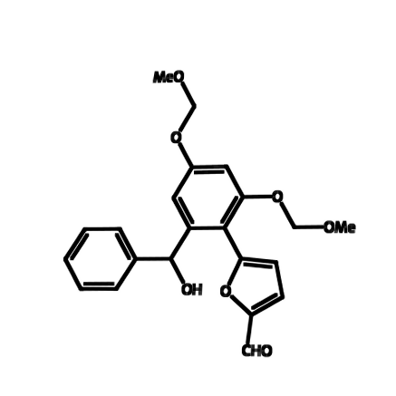 COCOc1cc(OCOC)c(-c2ccc(C=O)o2)c(C(O)c2ccccc2)c1